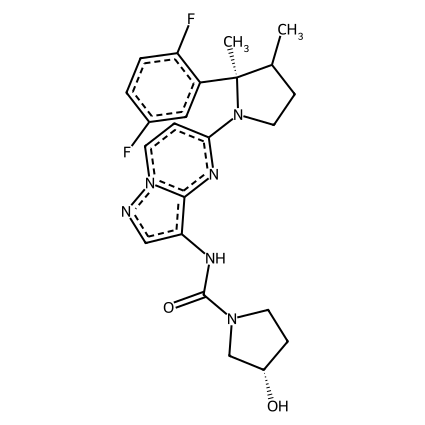 CC1CCN(c2ccn3ncc(NC(=O)N4CC[C@H](O)C4)c3n2)[C@@]1(C)c1cc(F)ccc1F